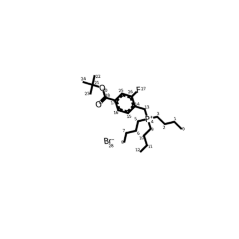 CCCC[P+](CCCC)(CCCC)Cc1ccc(C(=O)OC(C)(C)C)cc1F.[Br-]